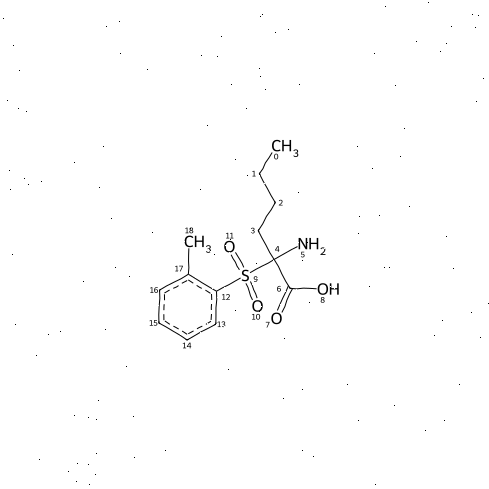 CCCCC(N)(C(=O)O)S(=O)(=O)c1ccccc1C